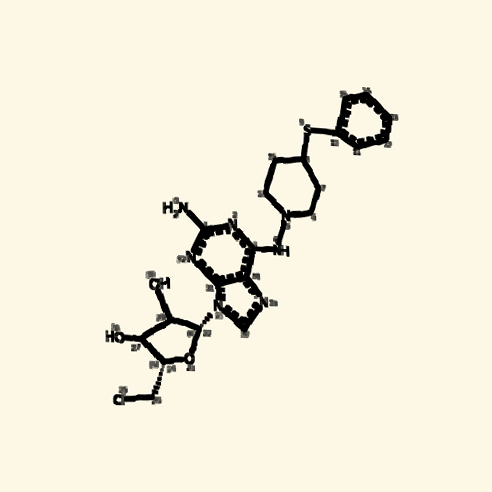 Nc1nc(NN2CCC(Sc3ccccc3)CC2)c2ncn([C@@H]3O[C@H](CCl)C(O)C3O)c2n1